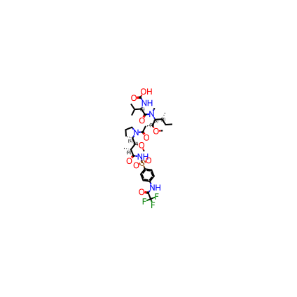 CC[C@@H](C)[C@@H]([C@@H](CC(=O)N1CCC[C@H]1[C@H](OC)[C@@H](C)C(=O)NS(=O)(=O)c1ccc(NC(=O)C(F)(F)F)cc1)OC)N(C)C(=O)[C@@H](NC(=O)O)C(C)C